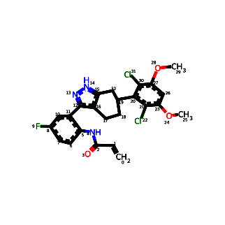 C=CC(=O)Nc1ccc(F)cc1-c1n[nH]c2c1CCC(c1c(Cl)c(OC)cc(OC)c1Cl)C2